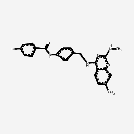 CNc1nc(NCc2ccc(NC(=O)c3ccc(Br)cc3)cc2)c2ccc(C)cc2n1